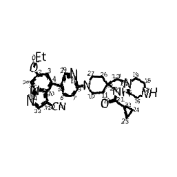 CCOc1cc(-c2ccc(N3CCC(CN4CCNCC4)(NC(=O)C4CC4)CC3)nc2)c2c(C#N)cnn2c1